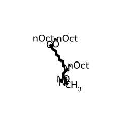 CCCCCCCCC(CCCCCCCC)OC(=O)CCCCCCCN(CCCCCCCC)CCc1nnc(C)o1